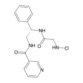 O=C(CNCl)N[C@H](CNC(=O)c1cccnc1)c1ccccc1